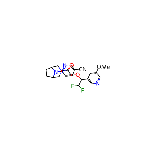 COc1cncc(C(OCC(=O)N2CC3CCC(C2)N3c2ccc(C#N)cn2)C(F)F)c1